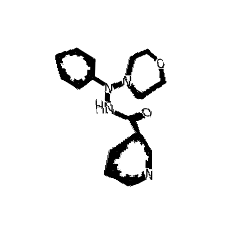 O=C(NN(c1ccccc1)N1CCOCC1)c1cccnc1